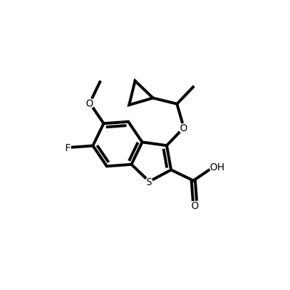 COc1cc2c(OC(C)C3CC3)c(C(=O)O)sc2cc1F